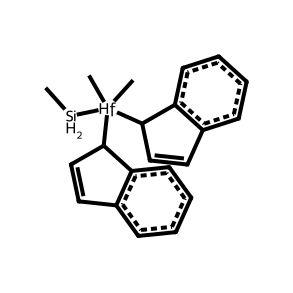 C[SiH2][Hf]([CH3])([CH3])([CH]1C=Cc2ccccc21)[CH]1C=Cc2ccccc21